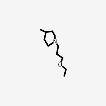 CCOCCCN1CCC(C)CC1